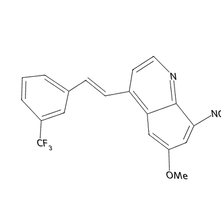 COc1cc([N+](=O)[O-])c2nccc(C=Cc3cccc(C(F)(F)F)c3)c2c1